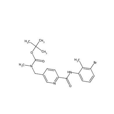 Cc1c(Br)cccc1NC(=O)c1ccc(CN(C)C(=O)OC(C)(C)C)cn1